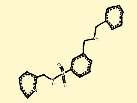 O=S(=O)(NCc1ccccn1)c1cccc(CNCc2ccccc2)c1